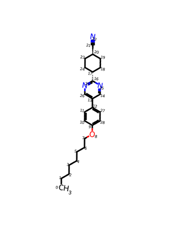 CCCCCCCCOc1ccc(-c2cnc([C@H]3CC[C@H](C#N)CC3)nc2)cc1